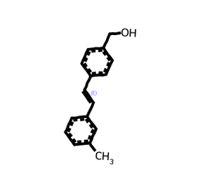 Cc1cccc(/C=C/c2ccc(CO)cc2)c1